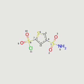 NS(=O)(=O)c1csc(S(=O)(=O)Cl)c1